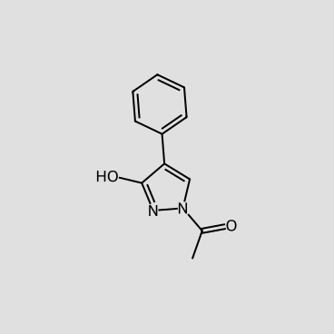 CC(=O)n1cc(-c2ccccc2)c(O)n1